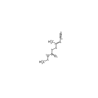 CCOC(=O)CC/C(C)=C/C#N